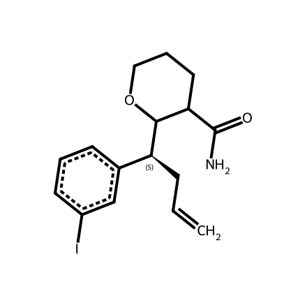 C=CC[C@@H](c1cccc(I)c1)C1OCCCC1C(N)=O